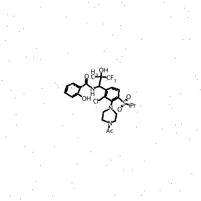 CC(=O)N1CCN(c2c(S(=O)(=O)C(C)C)ccc(C(NC(=O)c3ccccc3O)C(C)(O)C(F)(F)F)c2Cl)CC1